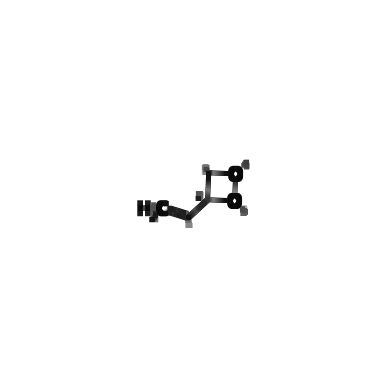 C=CC1COO1